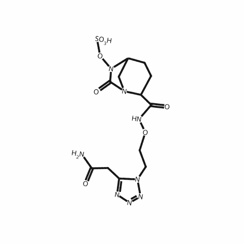 NC(=O)Cc1nnnn1CCONC(=O)C1CCC2CN1C(=O)N2OS(=O)(=O)O